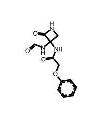 O=CNC1(NC(=O)COc2ccccc2)CNC1=O